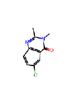 Cc1nc2ccc(Cl)cc2c(=O)n1C